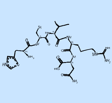 CC(C)[C@H](NC(=O)[C@H](CS)NC(=O)[C@@H](N)Cc1c[nH]cn1)C(=O)N[C@@H](CCCNC(=N)N)C(=O)N[C@@H](CC(N)=O)C(=O)O